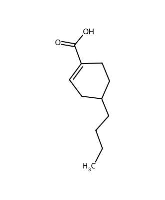 CCCCC1CC=C(C(=O)O)CC1